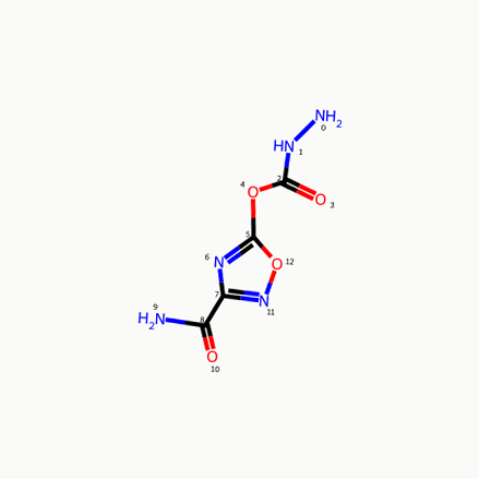 NNC(=O)Oc1nc(C(N)=O)no1